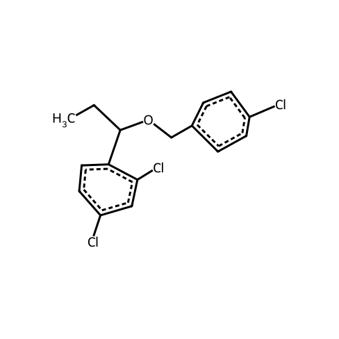 CCC(OCc1ccc(Cl)cc1)c1ccc(Cl)cc1Cl